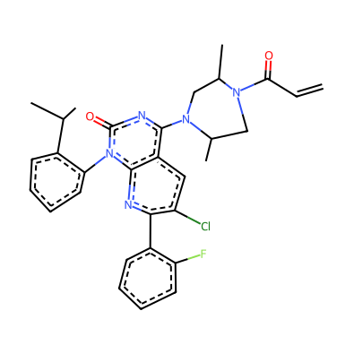 C=CC(=O)N1CC(C)N(c2nc(=O)n(-c3ccccc3C(C)C)c3nc(-c4ccccc4F)c(Cl)cc23)CC1C